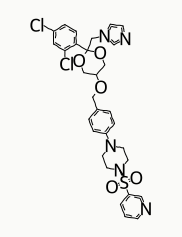 O=S(=O)(c1cccnc1)N1CCN(c2ccc(COC3COC(Cn4ccnc4)(c4ccc(Cl)cc4Cl)OC3)cc2)CC1